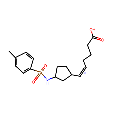 Cc1ccc(S(=O)(=O)NC2CCC(/C=C\CCCC(=O)O)C2)cc1